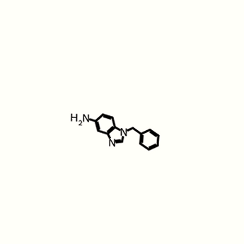 Nc1ccc2c(c1)ncn2Cc1ccccc1